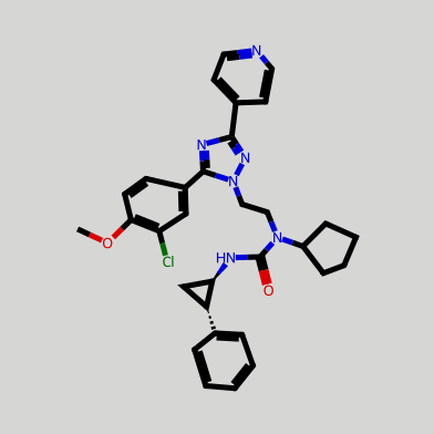 COc1ccc(-c2nc(-c3ccncc3)nn2CCN(C(=O)N[C@@H]2C[C@H]2c2ccccc2)C2CCCC2)cc1Cl